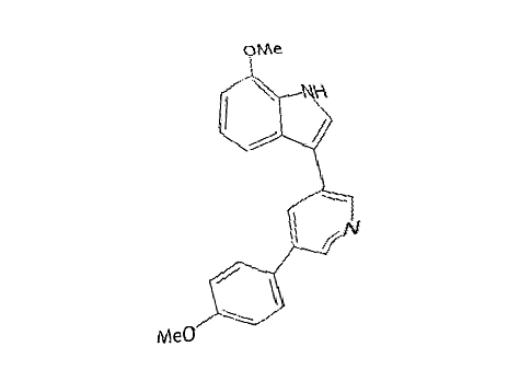 COc1ccc(-c2cncc(-c3c[nH]c4c(OC)cccc34)c2)cc1